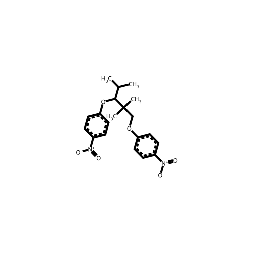 CC(C)C(Oc1ccc([N+](=O)[O-])cc1)C(C)(C)COc1ccc([N+](=O)[O-])cc1